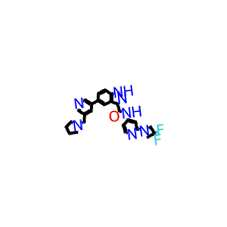 O=C(Nc1ccnc(N2CC(F)(F)C2)c1)c1n[nH]c2ccc(-c3cncc(CN4CCCC4)c3)cc12